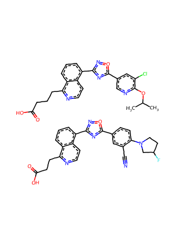 CC(C)Oc1ncc(-c2nc(-c3cccc4c(CCCC(=O)O)nccc34)no2)cc1Cl.N#Cc1cc(-c2nc(-c3cccc4c(CCC(=O)O)nccc34)no2)ccc1N1CCC(F)C1